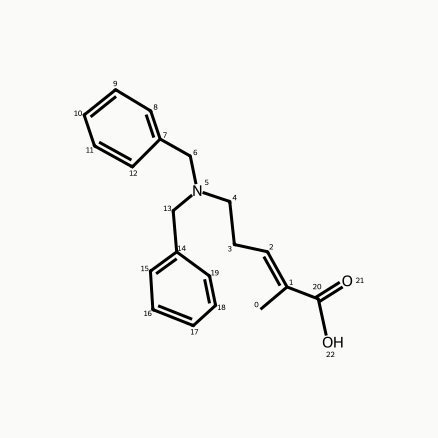 CC(=CCCN(Cc1ccccc1)Cc1ccccc1)C(=O)O